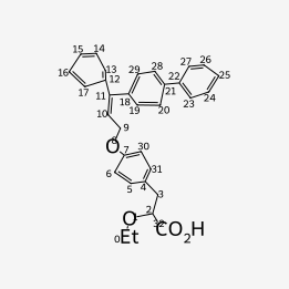 CCOC(Cc1ccc(OC/C=C(/c2ccccc2)c2ccc(-c3ccccc3)cc2)cc1)C(=O)O